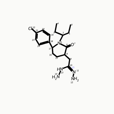 CCC(CC)N1C(=O)C(C/C(=N/N)NN)CCC1c1ccc(Cl)cc1